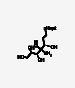 CCCCCCCCC[C@H](O)[C@@](N)(O)[C@H](O)[C@H](O)CO